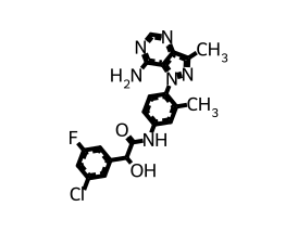 Cc1cc(NC(=O)C(O)c2cc(F)cc(Cl)c2)ccc1-n1nc(C)c2ncnc(N)c21